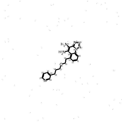 Nc1c(N)c2nnnn2c2cccc(CCOCCCc3cccnc3)c12